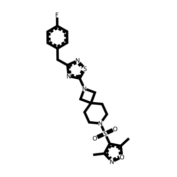 Cc1noc(C)c1S(=O)(=O)N1CCC2(CC1)CN(c1nc(Cc3ccc(F)cc3)ns1)C2